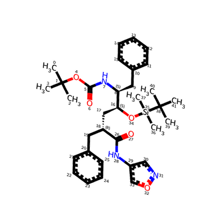 CC(C)(C)OC(=O)N[C@@H](Cc1ccccc1)[C@H](C[C@@H](Cc1ccccc1)C(=O)Nc1cnoc1)O[Si](C)(C)C(C)(C)C